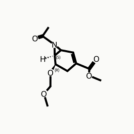 COCO[C@@H]1CC(C(=O)OC)=CC2[C@@H]1N2C(C)=O